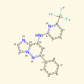 FC(F)(F)c1cccc(Nc2cc(-c3ccccc3)nn3ccnc23)n1